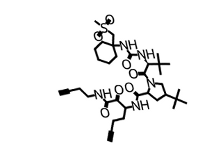 C#CCCNC(=O)C(=O)C(CCC#C)NC(=O)C1CC(C(C)(C)C)CN1C(=O)[C@@H](NC(=O)NC1(CS(C)(=O)=O)CCCCC1)C(C)(C)C